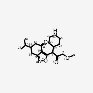 COCC(=O)C(c1onc2c1C(=O)CC(C(C)C)C2)C1CCNCC1